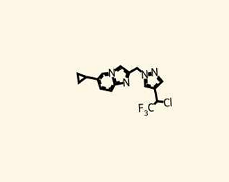 FC(F)(F)C(Cl)c1cnn(Cc2cn3cc(C4CC4)ccc3n2)c1